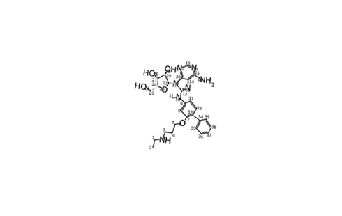 CCNCCCOc1cc(N(C)c2nc3c(N)ncnc3n2[C@@H]2O[C@H](CO)[C@@H](O)[C@H]2O)ccc1-c1ccccc1